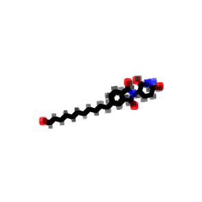 O=CCCCCCCCCCCc1ccc2c(c1)C(=O)N(C1CCC(=O)NC1=O)C2=O